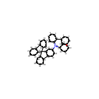 c1ccc(-c2ccccc2N(c2ccccc2)c2ccc3c(c2)C2(c4ccccc4-c4ccccc42)c2ccccc2-3)cc1